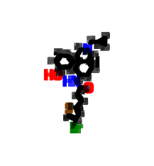 O=C(/C=C/c1cc(Br)cs1)N[C@@H]1CC[C@@H]2CN(CC3CC3)CC[C@@]2(c2cccc(O)c2)C1